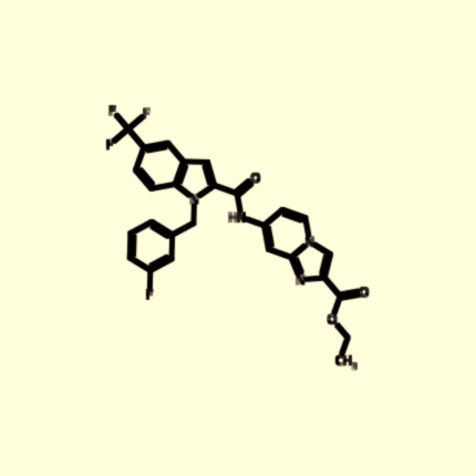 CCOC(=O)c1cn2ccc(NC(=O)c3cc4cc(C(F)(F)F)ccc4n3Cc3cccc(F)c3)cc2n1